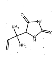 C=CC(N)(N)C1NC(=O)NC1=O